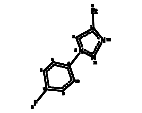 CCc1cn(-c2ccc(F)cc2)nn1